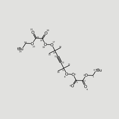 CC(C)(C)COC(=O)C(=O)OOC(C)(C)C#CC(C)(C)OOC(=O)C(=O)OCC(C)(C)C